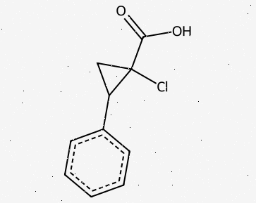 O=C(O)C1(Cl)CC1c1ccccc1